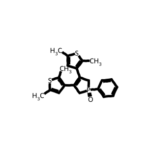 Cc1cc(C2=C(c3cc(C)sc3C)CP(=O)(c3ccccc3)C2)c(C)s1